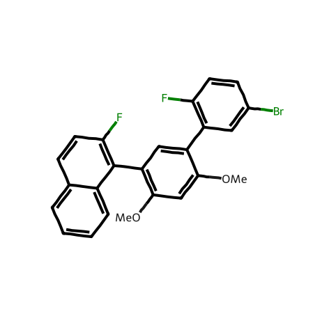 COc1cc(OC)c(-c2c(F)ccc3ccccc23)cc1-c1cc(Br)ccc1F